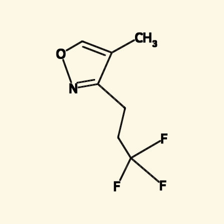 Cc1conc1CCC(F)(F)F